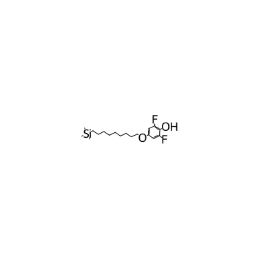 C[Si](C)(C)CCCCCCCCCOc1cc(F)c(O)c(F)c1